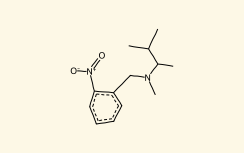 CC(C)C(C)N(C)Cc1ccccc1[N+](=O)[O-]